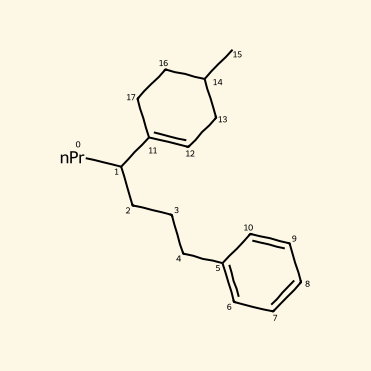 CCCC(CCCc1ccccc1)C1=CCC(C)CC1